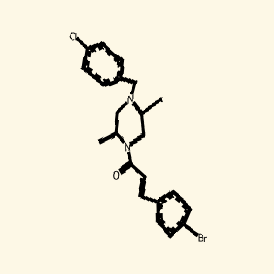 CC1CN(C(=O)/C=C/c2ccc(Br)cc2)C(C)CN1Cc1ccc(Cl)cc1